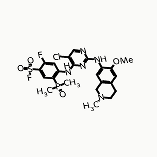 COc1cc2c(cc1Nc1ncc(Cl)c(Nc3cc(F)c(S(=O)(=O)F)cc3P(C)(C)=O)n1)CN(C)CC2